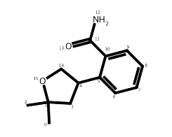 CC1(C)CC(c2ccccc2C(N)=O)CO1